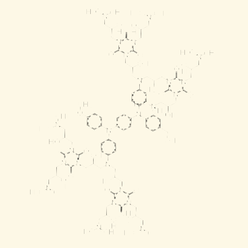 COc1ccc(N(c2ccc(N(CC(O)Cn3c(=O)n(CC(O)CN(C)C)c(=O)n(CC(O)CN(C)C)c3=O)CC(O)Cn3c(=O)n(CC(O)CN(C)C)c(=O)n(CC(O)CN(C)C)c3=O)cc2)c2ccc(N(c3ccc(CO)cc3)c3ccc(N(CC(O)Cn4c(=O)n(CC(O)CN(C)C)c(=O)n(CC(O)CN(C)C)c4=O)CC(O)Cn4c(=O)n(CC(O)CN(C)C)c(=O)n(CC(O)CN(C)C)c4=O)cc3)cc2)cc1